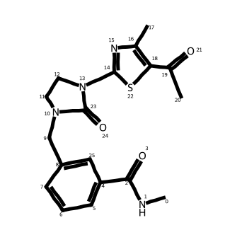 CNC(=O)c1cccc(CN2CCN(c3nc(C)c(C(C)=O)s3)C2=O)c1